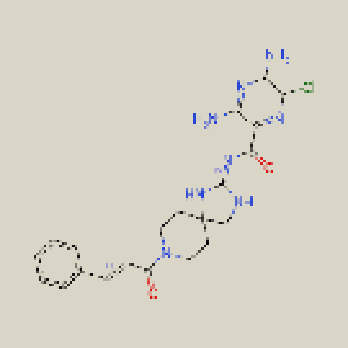 NC1=NC(N)C(Cl)N=C1C(=O)/N=C1\NCC2(CCN(C(=O)/C=C/c3ccccc3)CC2)N1